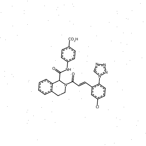 O=C(O)c1ccc(NC(=O)C2c3ccccc3CCN2C(=O)C=Cc2cc(Cl)ccc2-n2cnnn2)cc1